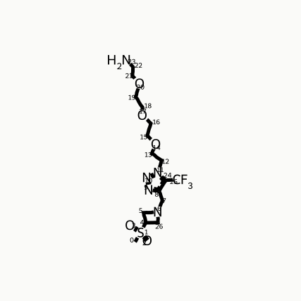 CS(=O)(=O)C1CN(Cc2nnn(CCOCCOCCOCCN)c2C(F)(F)F)C1